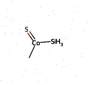 [CH3][Co]([SiH3])=[S]